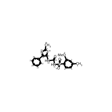 COc1cc(C)ccc1S(=O)(=O)NC(=O)Nc1sc(C)nc1-c1ccccc1